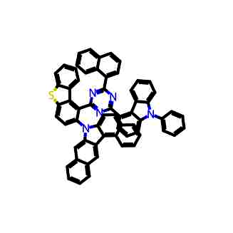 c1ccc(-n2c3ccccc3c3c(-c4nc(-c5cccc6ccccc56)nc(-c5c(-n6c7cc8ccccc8cc7c7c8ccccc8ccc76)ccc6sc7ccccc7c56)n4)cccc32)cc1